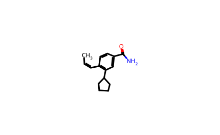 C/C=C\c1ccc(C(N)=O)cc1C1CCCC1